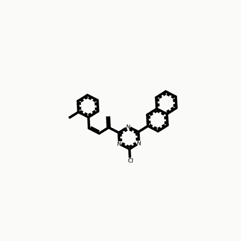 C=C(/C=C\c1ccccc1C)c1nc(Cl)nc(-c2ccc3ccccc3c2)n1